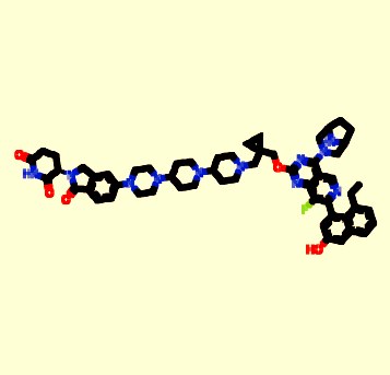 CCc1cccc2cc(O)cc(-c3ncc4c(N5CC6CCC(C5)N6)nc(OCC5(CN6CCC(N7CCC(N8CCN(c9ccc%10c(c9)CN([C@H]9CCC(=O)NC9=O)C%10=O)CC8)CC7)CC6)CC5)nc4c3F)c12